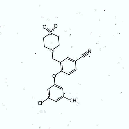 Cc1cc(Cl)cc(Oc2ccc(C#N)cc2CN2CCS(=O)(=O)CC2)c1